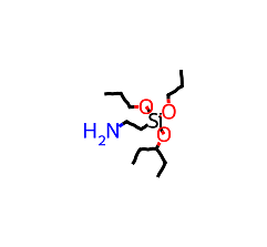 CCCO[Si](CCN)(OCCC)OC(CC)CC